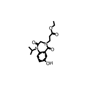 CCOC(=O)CCN1CC(=O)N(C(C)C)c2ccc(O)cc2C1=O